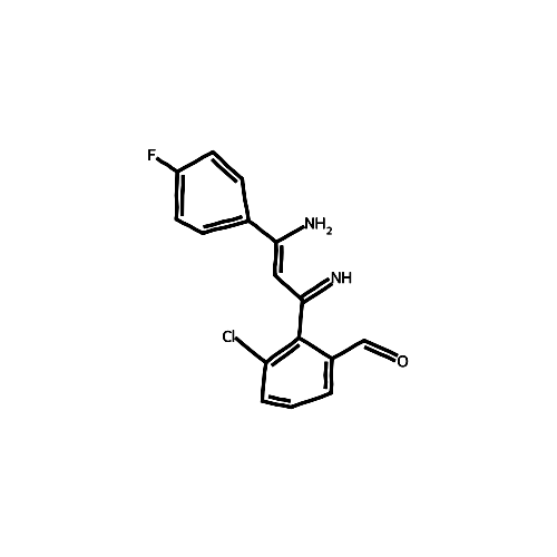 N=C(/C=C(\N)c1ccc(F)cc1)c1c(Cl)cccc1C=O